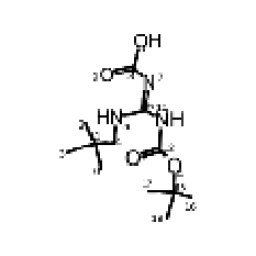 CC(C)(C)CN/C(=N\C(=O)O)NC(=O)OC(C)(C)C